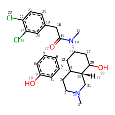 CN1CC[C@@]2(c3cccc(O)c3)C[C@H](N(C)C(=O)Cc3ccc(Cl)c(Cl)c3)CC(O)[C@@H]2C1